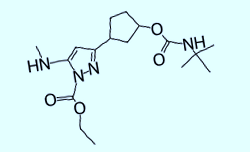 CCOC(=O)n1nc(C2CCC(OC(=O)NC(C)(C)C)C2)cc1NC